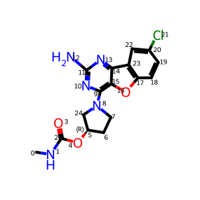 CNC(=O)O[C@@H]1CCN(c2nc(N)nc3c2oc2ccc(Cl)cc23)C1